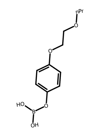 CCCOCCOc1ccc(OB(O)O)cc1